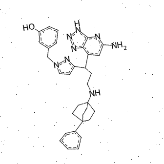 Nc1cc(C(CCNC23CCC(c4ccccc4)(CC2)CC3)c2ccn(Cc3cccc(O)c3)n2)c2nn[nH]c2n1